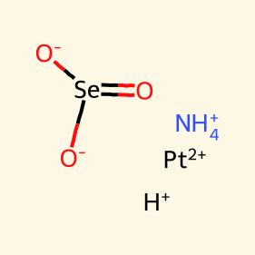 O=[Se]([O-])[O-].[H+].[NH4+].[Pt+2]